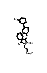 CCCCCCC(Sc1ccc(-c2cccc(C(C)=O)c2)cc1)C1(C(=O)NCCC(=O)O)C=CC=CC1